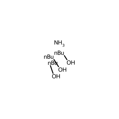 CCCCO.CCCCO.CCCCO.N